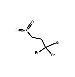 O=[SH](=O)CCC(Br)(Br)Br